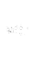 COC(=O)Cc1c(C)c(N(C)C(=O)c2ccccc2Br)cc(C)c1-c1ccc(C)cc1